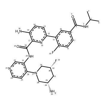 CC(C)NC(=O)c1ccc(F)c(-c2ccc(N)c(C(=O)Nc3cnccc3N3C[C@@H](N)C[C@@H](F)C3)n2)c1